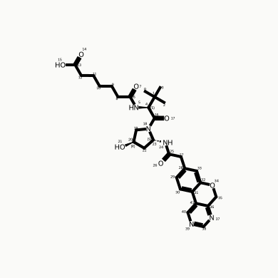 CC(C)(C)[C@H](NC(=O)CCCCCC(=O)O)C(=O)N1C[C@H](O)C[C@H]1NC(=O)Cc1ccc2c(c1)OCc1ncncc1-2